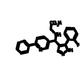 O=C(O)CNC(c1ccc(-c2ccccc2)nc1)c1cn[nH]c1-c1ccccc1F